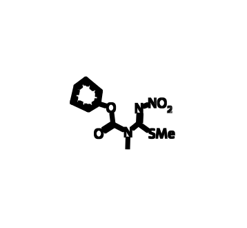 CSC(=N[N+](=O)[O-])N(C)C(=O)Oc1ccccc1